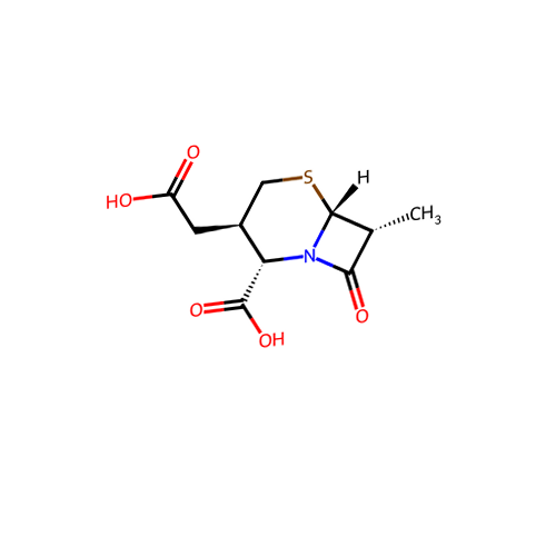 C[C@@H]1C(=O)N2[C@@H]1SC[C@H](CC(=O)O)[C@H]2C(=O)O